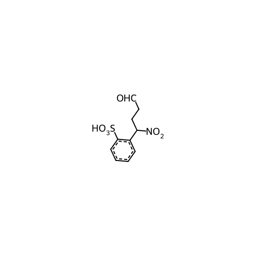 O=CCCC(c1ccccc1S(=O)(=O)O)[N+](=O)[O-]